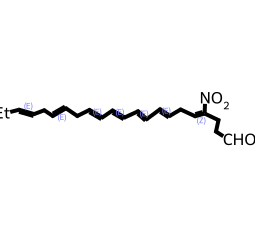 CC/C=C/C/C=C/C/C=C/C=C/C=C/C=C/C/C=C(/CC[C]=O)[N+](=O)[O-]